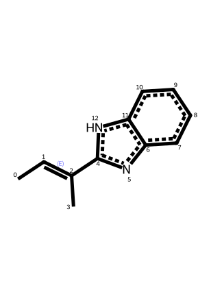 C/C=C(\C)c1nc2ccccc2[nH]1